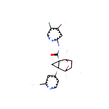 COc1cc([C@@]23C[C@]2(C(=O)Nc2cc(C(F)(F)F)c(Cl)cn2)[C@H]2C[C@H](O)[C@@H]3O2)ccn1